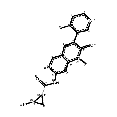 Cc1ccncc1-c1cc2cnc(NC(=O)[C@@H]3C[C@H]3F)cc2n(C)c1=O